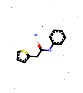 N.O=C(Cc1cccs1)Nc1ccccc1